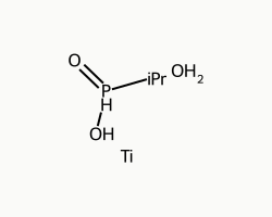 CC(C)[PH](=O)O.O.[Ti]